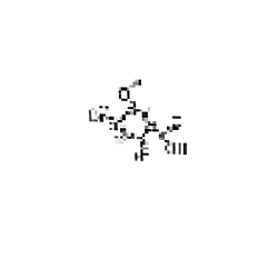 COc1cc(C(=O)O)c(F)cc1Br